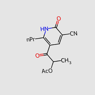 CCCc1[nH]c(=O)c(C#N)cc1C(=O)C(C)OC(C)=O